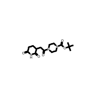 CC(C)(C)OC(=O)N1CCN(C(=O)CC2CCC(=O)NC2=O)CC1